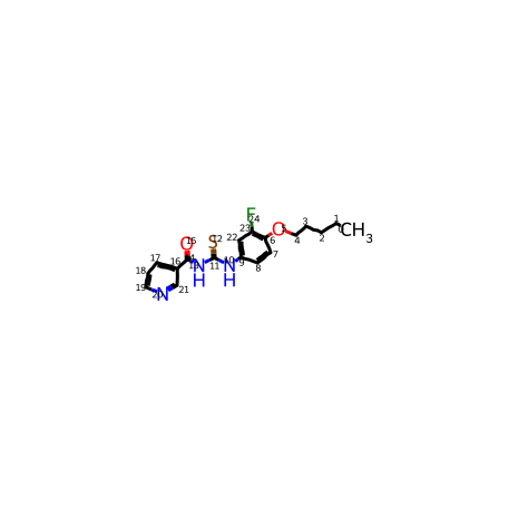 CCCCCOc1ccc(NC(=S)NC(=O)c2cccnc2)cc1F